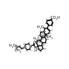 CC1C(c2ccc(C(=O)O)cc2)=CCC2(C)C1CCC1(C)C2CCC2C3CCCC3(NC(=O)N3CCN(CCN(C)C)CC3)CC[C@]21C